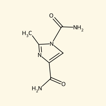 Cc1nc(C(N)=O)cn1C(N)=O